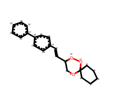 C(=CC1COC2(CCCCC2)OO1)c1ccc(-c2ccccc2)cc1